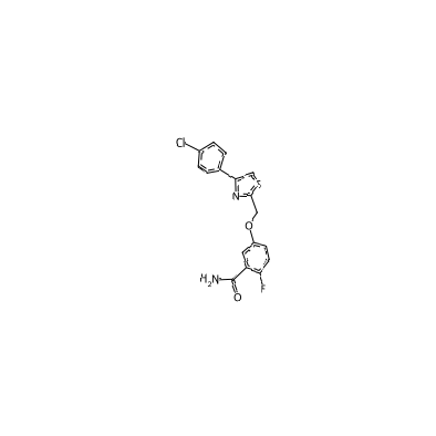 NC(=O)c1cc(OCc2nc(-c3ccc(Cl)cc3)cs2)ccc1F